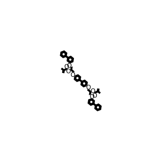 C=C(C)C(=O)OC(COc1ccc(-c2ccc(OCC(COc3cccc(-c4ccccc4)c3)OC(=O)C(=C)C)cc2)cc1)COc1cccc(-c2ccccc2)c1